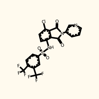 O=C1c2c(Cl)ccc(NS(=O)(=O)c3ccc(C(F)(F)F)c(C(F)(F)F)c3)c2C(=O)N1c1cccnc1